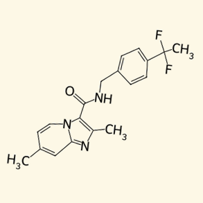 Cc1ccn2c(C(=O)NCc3ccc(C(C)(F)F)cc3)c(C)nc2c1